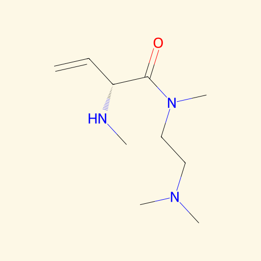 C=C[C@@H](NC)C(=O)N(C)CCN(C)C